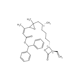 C=C[C@H]1C(=O)O[C@@H]1CCCC[C@@H](C)CC1(C)OC1C(C)=CC(=O)OC(c1ccccc1)c1ccccc1